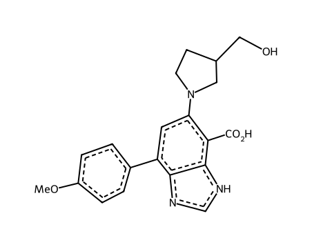 COc1ccc(-c2cc(N3CCC(CO)C3)c(C(=O)O)c3[nH]cnc23)cc1